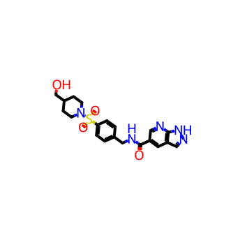 O=C(NCc1ccc(S(=O)(=O)N2CCC(CO)CC2)cc1)c1cnc2[nH]ncc2c1